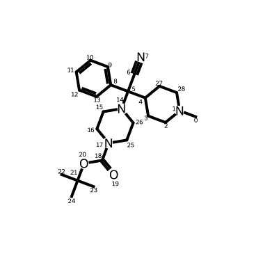 CN1CCC(C(C#N)(c2ccccc2)N2CCN(C(=O)OC(C)(C)C)CC2)CC1